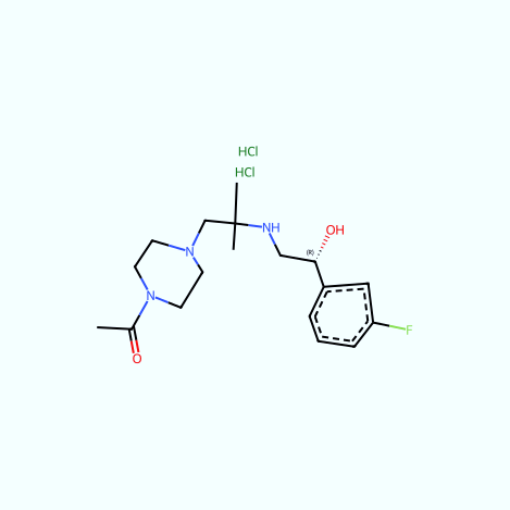 CC(=O)N1CCN(CC(C)(C)NC[C@H](O)c2cccc(F)c2)CC1.Cl.Cl